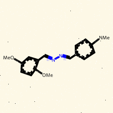 CNc1ccc(/C=N/N=C/c2cc(OC)ccc2OC)cc1